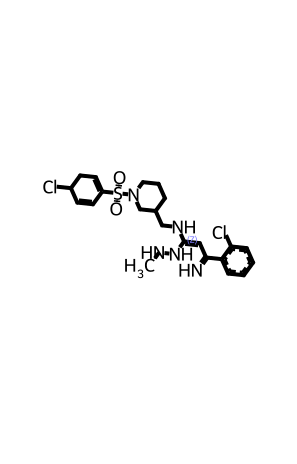 CNN/C(=C\C(=N)c1ccccc1Cl)NCC1CCCN(S(=O)(=O)C2=CCC(Cl)C=C2)C1